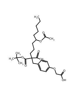 CCCCCC(CCCC(Cc1ccc(OCC(=O)O)cc1)(C(C)=O)C(=O)OC(C)(C)C)OC(C)=O